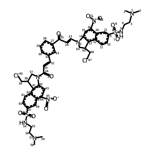 CN(C)CCNS(=O)(=O)c1ccc2c3c(cc([N+](=O)[O-])c2c1)N(C=CC(=O)c1cccc(C=CC(=O)N2CC(CCl)c4c2cc([N+](=O)[O-])c2cc(S(=O)(=O)NCCN(C)C)ccc42)c1)CC3CCl